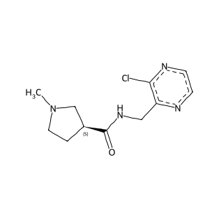 CN1CC[C@H](C(=O)NCc2nccnc2Cl)C1